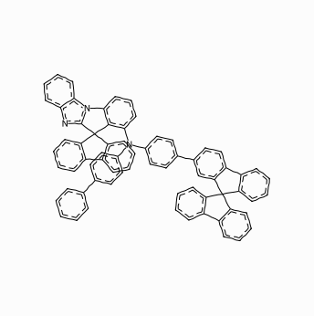 c1ccc(-c2ccc(N(c3ccc(-c4ccc5c(c4)C4(c6ccccc6-c6ccccc64)c4ccccc4-5)cc3)c3cccc4c3C3(c5ccccc5-c5ccccc53)c3nc5ccccc5n3-4)cc2)cc1